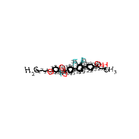 C=CCCCOc1ccc(OC(=O)c2ccc(-c3ccc(-c4ccc(C(O)CCC)cc4)c(F)c3F)cc2)c(F)c1